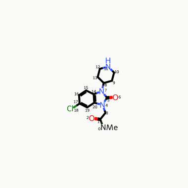 CNC(=O)Cn1c(=O)n(C2CCNCC2)c2ccc(Cl)cc21